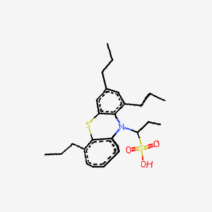 CCCc1cc(CCC)c2c(c1)Sc1c(CCC)cccc1N2C(CC)S(=O)(=O)O